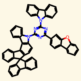 c1ccc2c(c1)-c1ccccc1C21c2ccccc2-c2c1ccc1c2c2ccccc2n1-c1nc(-c2ccc3c(c2)oc2ccccc23)nc(-n2c3ccccc3c3ccccc32)n1